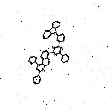 c1ccc(-c2cc(-c3ccccc3)c3c(ccc4c(-c5nc(-c6ccccc6)nc(-c6cccc(-n7c8ccccc8c8ccccc87)c6)n5)cccc43)n2)cc1